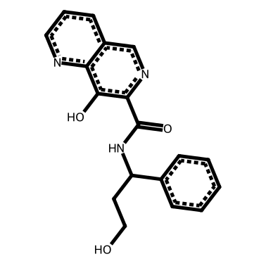 O=C(NC(CCO)c1ccccc1)c1ncc2cccnc2c1O